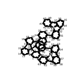 c1ccc(C2(c3ccccc3)c3ccccc3-c3cccc(-c4c5cccc(-c6cccc7c8cccc9c%10ccccc%10n(c67)c98)c5cc5c(-c6cccc7c8cccc9c%10ccccc%10n(c67)c98)cccc45)c32)cc1